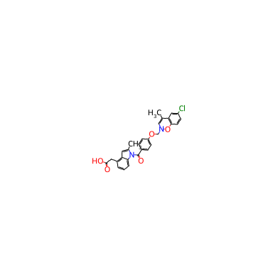 CC1=CN(COc2ccc(C(=O)n3c(C)cc4c(CC(=O)O)cccc43)cc2)Oc2ccc(Cl)cc21